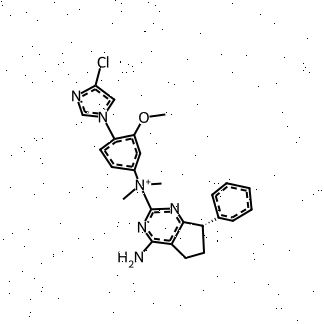 COc1cc([N+](C)(C)c2nc(N)c3c(n2)[C@H](c2ccccc2)CC3)ccc1-n1cnc(Cl)c1